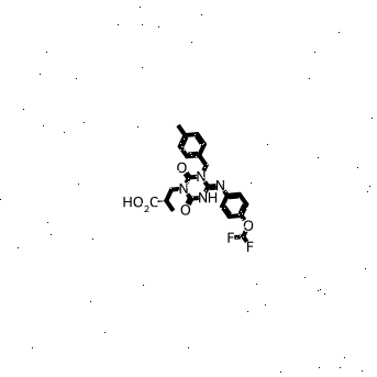 Cc1ccc(Cn2c(=O)n(C[C@H](C)C(=O)O)c(=O)[nH]/c2=N\c2ccc(OC(F)F)cc2)cc1